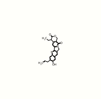 C=CCc1cc2nc3c(cc2cc1O)Cn1c-3cc2c(c1=O)COC(=O)C2CC